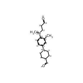 Cc1cc(N2CCC(C=O)CC2)ccc1N(C)CCC=O